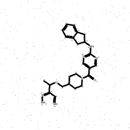 CC(OCC1CCN(C(=O)c2cnc(NC3Cc4ccccc4C3)nc2)CC1)/C(C=N)=N/N